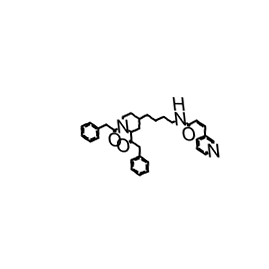 O=C(/C=C\c1cccnc1)NCCCCC1CCN(C(=O)Cc2ccccc2)C(C(=O)Cc2ccccc2)C1